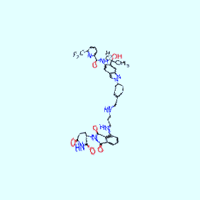 CC(C)(O)c1cc2nn([C@H]3CC[C@H](CNCCCNc4cccc5c4C(=O)N(C4CCC(=O)NC4=O)C5=O)CC3)cc2cc1NC(=O)c1cccc(C(F)(F)F)n1